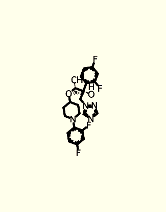 C[C@@H](OC1CCN(c2ccc(F)cc2F)CC1)[C@](O)(Cn1cncn1)c1ccc(F)cc1F